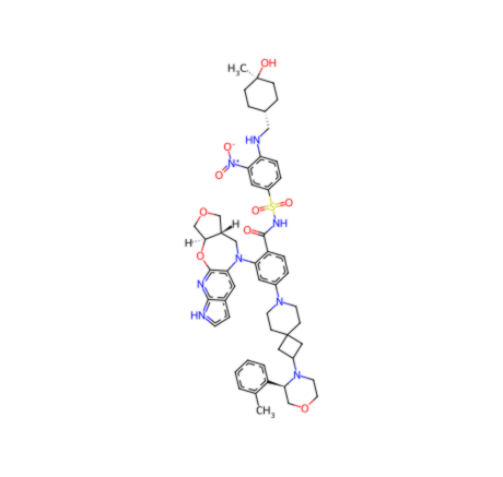 Cc1ccccc1[C@@H]1COCCN1C1CC2(CCN(c3ccc(C(=O)NS(=O)(=O)c4ccc(NC[C@H]5CC[C@](C)(O)CC5)c([N+](=O)[O-])c4)c(N4C[C@H]5COC[C@@H]5Oc5nc6[nH]ccc6cc54)c3)CC2)C1